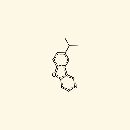 CC(C)c1ccc2oc3ccncc3c2c1